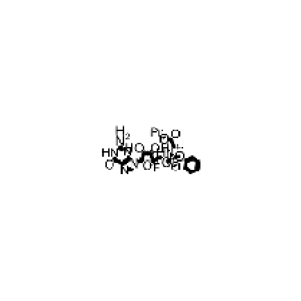 CC(C)OC(=O)[C@H](C)N[P@](=O)(OC[C@@]1(F)OC(n2cnc3c(=O)[nH]c(N)nc32)[C@H](O)[C@@H]1O)Oc1ccccc1